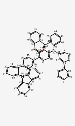 c1ccc(-c2cccc(N(c3ccc(-c4ccc(-c5ccccc5-n5c6ccccc6c6ccccc65)cc4)cc3)c3ccccc3-c3cccc4ccccc34)c2)cc1